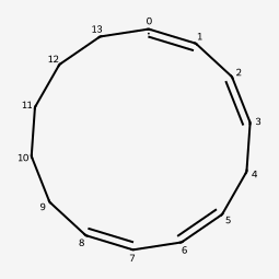 [C]1=CC=CCC=CC=CCCCCC1